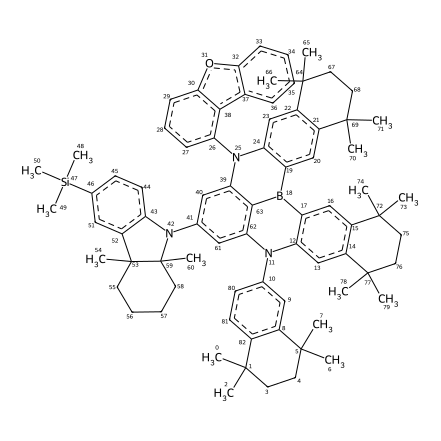 CC1(C)CCC(C)(C)c2cc(N3c4cc5c(cc4B4c6cc7c(cc6N(c6cccc8oc9ccccc9c68)c6cc(N8c9ccc([Si](C)(C)C)cc9C9(C)CCCCC89C)cc3c64)C(C)(C)CCC7(C)C)C(C)(C)CCC5(C)C)ccc21